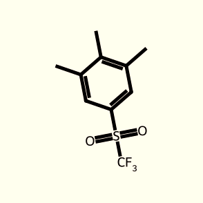 Cc1cc(S(=O)(=O)C(F)(F)F)cc(C)c1C